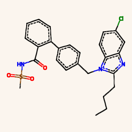 CCCCc1nc2cc(Cl)ccc2n1Cc1ccc(-c2ccccc2C(=O)NS(C)(=O)=O)cc1